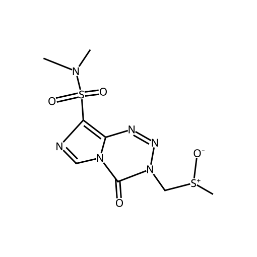 CN(C)S(=O)(=O)c1ncn2c(=O)n(C[S+](C)[O-])nnc12